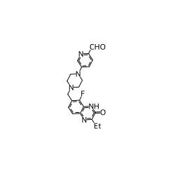 CCc1nc2ccc(CN3CCN(c4ccc(C=O)nc4)CC3)c(F)c2[nH]c1=O